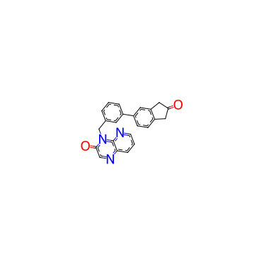 O=C1Cc2ccc(-c3cccc(Cn4c(=O)cnc5cccnc54)c3)cc2C1